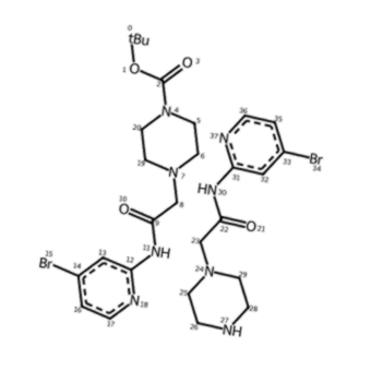 CC(C)(C)OC(=O)N1CCN(CC(=O)Nc2cc(Br)ccn2)CC1.O=C(CN1CCNCC1)Nc1cc(Br)ccn1